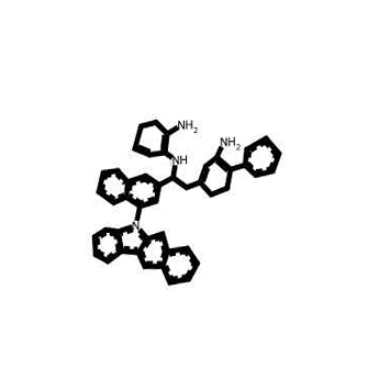 NC1=C(c2ccccc2)CCC(CC(NC2=C(N)CCC=C2)c2cc(-n3c4ccccc4c4cc5ccccc5cc43)c3ccccc3c2)=C1